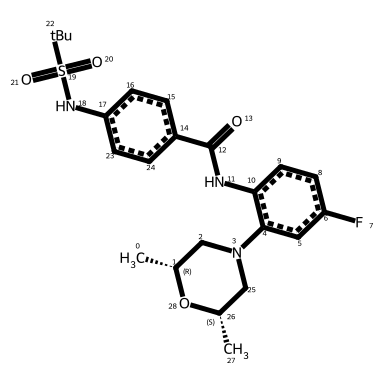 C[C@@H]1CN(c2cc(F)ccc2NC(=O)c2ccc(NS(=O)(=O)C(C)(C)C)cc2)C[C@H](C)O1